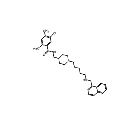 COc1cc(N)c(Cl)cc1C(=O)NCC1CCN(CCCCCNCc2cccc3ccccc23)CC1